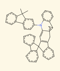 CC1(C)c2ccccc2-c2ccc(N3C4=CC5=C(CC46C=CC=C6c4ccccc43)c3ccccc3C53c4ccccc4-c4ccccc43)cc21